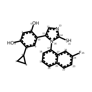 Oc1cc(O)c(C2CC2)cc1-c1cnc(S)n1-c1cccc2ccc(F)cc12